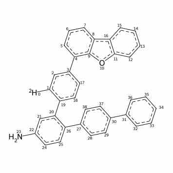 [2H]c1cc(-c2cccc3c2oc2ccccc23)ccc1-c1cc(N)ccc1-c1ccc(-c2ccccc2)cc1